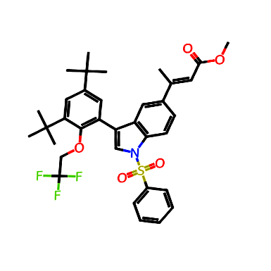 COC(=O)/C=C(\C)c1ccc2c(c1)c(-c1cc(C(C)(C)C)cc(C(C)(C)C)c1OCC(F)(F)F)cn2S(=O)(=O)c1ccccc1